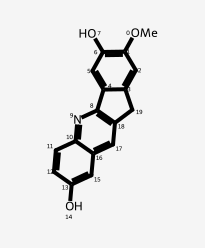 COc1cc2c(cc1O)-c1nc3ccc(O)cc3cc1C2